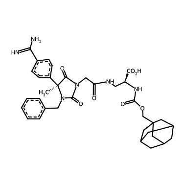 C[C@]1(c2ccc(C(=N)N)cc2)C(=O)N(CC(=O)NC[C@H](NC(=O)OCC23CC4CC(CC(C4)C2)C3)C(=O)O)C(=O)N1Cc1ccccc1